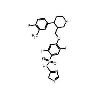 O=S(=O)(Nc1ncns1)c1cc(F)c(OCC2CNCCC2c2ccc(F)c(C(F)(F)F)c2)cc1F